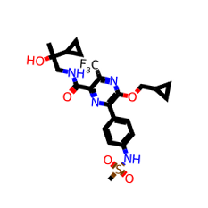 CC(O)(CNC(=O)c1nc(-c2ccc(NS(C)(=O)=O)cc2)c(OCC2CC2)nc1C(F)(F)F)C1CC1